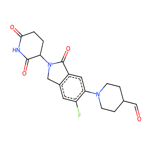 O=CC1CCN(c2cc3c(cc2F)CN(C2CCC(=O)NC2=O)C3=O)CC1